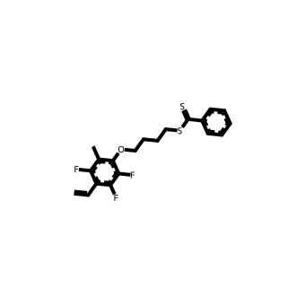 C=Cc1c(F)c(C)c(OCCCCSC(=S)c2ccccc2)c(F)c1F